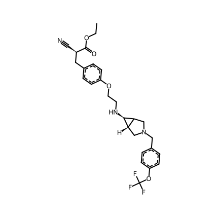 CCOC(=O)[C@H](C#N)Cc1ccc(OCCN[C@H]2C3CN(Cc4ccc(OC(F)(F)F)cc4)C[C@@H]32)cc1